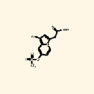 COC(=O)Cc1cc(C(C)=O)c2cc(OS(=O)(=O)C(F)(F)F)ccn12